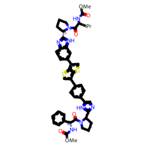 COC(=O)NC(C(=O)N1CCC[C@H]1c1nc2ccc(-c3csc4c(-c5ccc(-c6cnc(C7CCCN7C(=O)[C@H](NC(=O)OC)c7ccccc7)[nH]6)cc5)csc34)cc2[nH]1)C(C)C